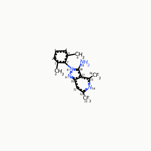 Cc1cccc(C)c1-n1nc2cc(C(F)(F)F)nc(C(F)(F)F)c2c1N